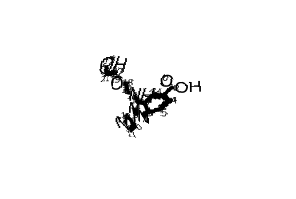 O=C(O)c1ccc2nc(-n3ccnc3)nc(NCCOCCO)c2c1